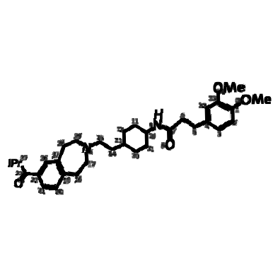 COc1ccc(CCC(=O)NC2CCC(CCN3CCc4ccc(C(=O)C(C)C)cc4CC3)CC2)cc1OC